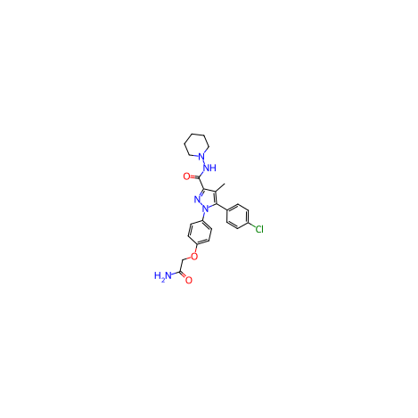 Cc1c(C(=O)NN2CCCCC2)nn(-c2ccc(OCC(N)=O)cc2)c1-c1ccc(Cl)cc1